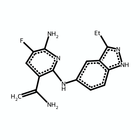 C=C(N)c1cc(F)c(N)nc1Nc1ccc2[nH]nc(CC)c2c1